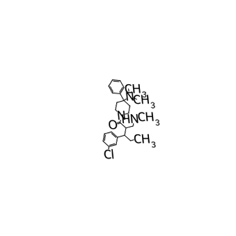 CCC(c1cccc(Cl)c1)C(CNC)C(=O)N1CCC(c2ccccc2)(N(C)C)CC1